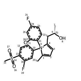 CC1=CC=C(C[C@H](C)O)[N+]1(c1ccc(S(C)(=O)=O)c(F)c1)c1ccc(F)cc1Cl